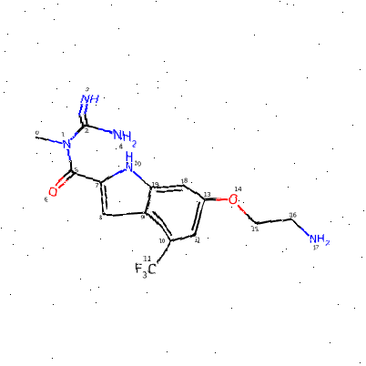 CN(C(=N)N)C(=O)c1cc2c(C(F)(F)F)cc(OCCN)cc2[nH]1